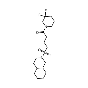 O=C(CCCS(=O)(=O)N1CCC2CCCCC2C1)N1CCCC(F)(F)C1